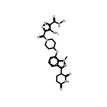 CCNC(=O)c1nsc(C(=O)N2CCC(Oc3cccc4c(C5CCC(=O)NC5=O)nn(C)c34)CC2)c1N